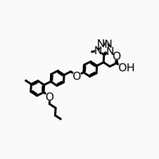 CCCCOc1ccc(C)cc1-c1ccc(COc2ccc(C(CC(=O)O)c3nnnn3C)cc2)cc1